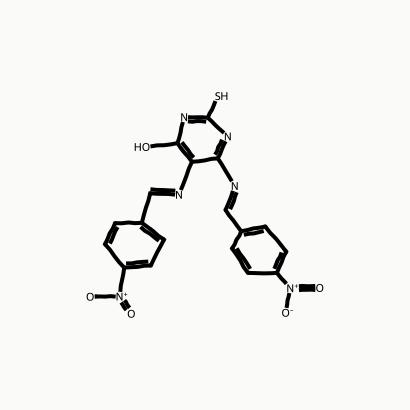 O=[N+]([O-])c1ccc(C=Nc2nc(S)nc(O)c2N=Cc2ccc([N+](=O)[O-])cc2)cc1